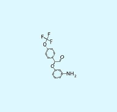 Nc1cccc(O[C@H](C=O)c2ccc(OC(F)(F)F)cc2)c1